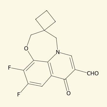 O=Cc1cn2c3c(c(F)c(F)cc3c1=O)OCC1(CCC1)C2